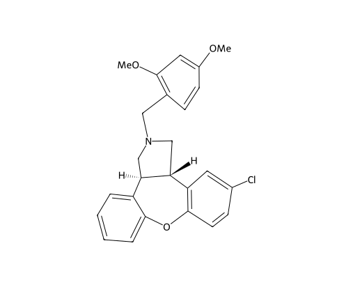 COc1ccc(CN2C[C@@H]3c4ccccc4Oc4ccc(Cl)cc4[C@H]3C2)c(OC)c1